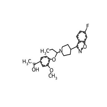 CCC(Oc1ccc([C@@H](C)O)cc1OC)N1CCC(c2noc3cc(F)ccc23)CC1